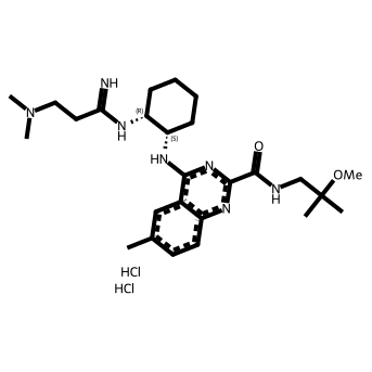 COC(C)(C)CNC(=O)c1nc(N[C@H]2CCCC[C@H]2NC(=N)CCN(C)C)c2cc(C)ccc2n1.Cl.Cl